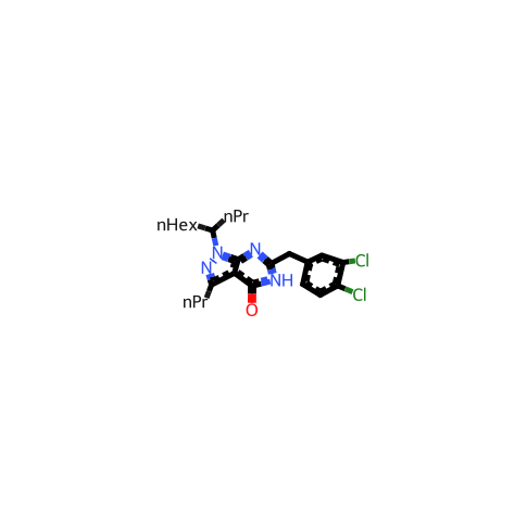 CCCCCCC(CCC)n1nc(CCC)c2c(=O)[nH]c(Cc3ccc(Cl)c(Cl)c3)nc21